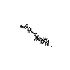 CC(C)(C)OC(=O)N1CCC(C#Cc2csc(C(=O)NCc3ccc4c(N)nccc4c3)n2)CC1